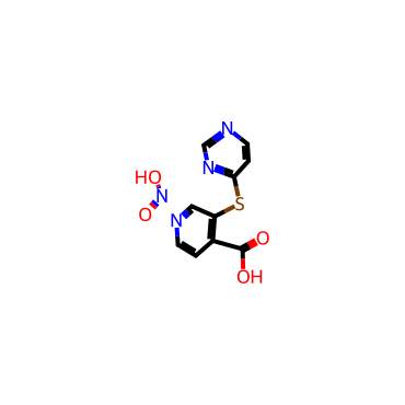 O=C(O)c1ccncc1Sc1ccncn1.O=NO